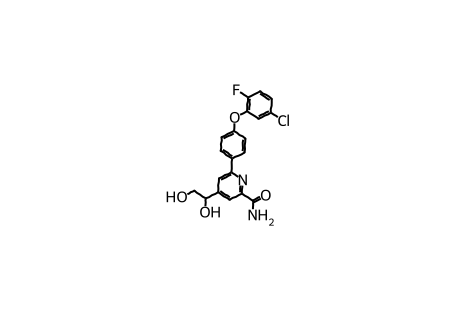 NC(=O)c1cc(C(O)CO)cc(-c2ccc(Oc3cc(Cl)ccc3F)cc2)n1